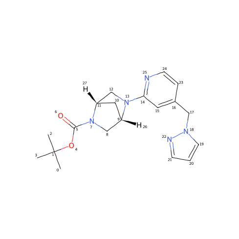 CC(C)(C)OC(=O)N1C[C@@H]2C[C@H]1CN2c1cc(Cn2cccn2)ccn1